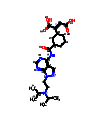 CC(C)N(CCn1ncc2c(NC(=O)C3CCCC(/C(=C\C(=O)O)C(=O)O)C3)ncnc21)C(C)C